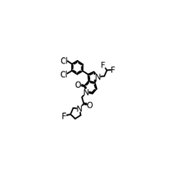 O=C(Cn1ccc2c(c(-c3ccc(Cl)c(Cl)c3)cn2CC(F)F)c1=O)N1CCC(F)C1